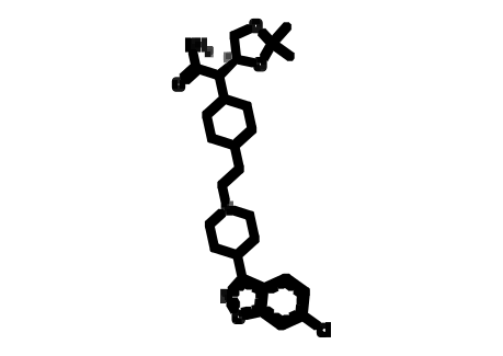 CC1(C)OC[C@H](C(C(N)=O)C2CCC(CCN3CCC(c4noc5cc(Cl)ccc45)CC3)CC2)O1